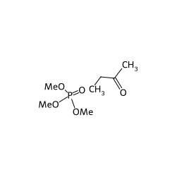 CCC(C)=O.COP(=O)(OC)OC